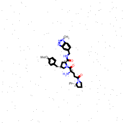 COc1ccc(C[C@@H]2C[C@@H](C(=O)NCc3ccc4c(c3)nnn4C)N(C(=O)[C@H](N)CCC(=O)N3CCC[C@@H]3C(C)C)C2)cc1